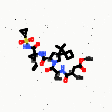 C=C[C@@H]1C[C@]1(NC(=O)[C@@H]1C[C@@]2(CN1C(=O)[C@@H](NC(=O)[C@@H](CC(=O)OC(C)(C)C)C(C)(C)C)C(C)(C)C)C(C)(C)C21CCC1)C(=O)NS(=O)(=O)C1CC1